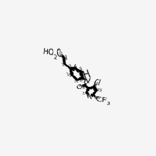 O=C(O)CCc1ccc(NC(=O)c2cnc(C(F)(F)F)cc2Cl)cc1